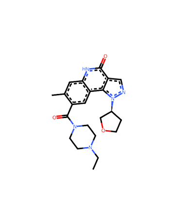 CCN1CCN(C(=O)c2cc3c(cc2C)[nH]c(=O)c2cnn([C@H]4CCOC4)c23)CC1